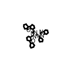 c1ccc2c(c1)nc1n(-c3nc(-c4cccc5c4oc4ccccc45)nc(-c4cccc5c4oc4ccccc45)n3)c3ccccc3n21